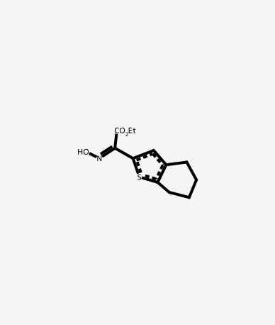 CCOC(=O)C(=NO)c1cc2c(s1)CCCC2